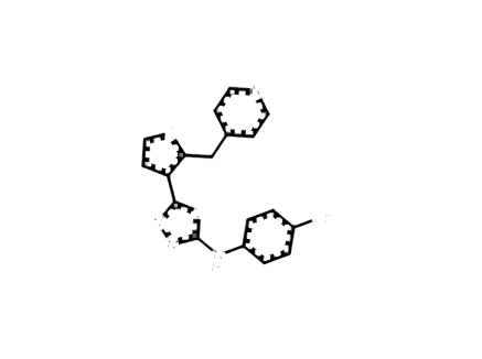 FC(F)(F)c1ccc(Nc2nnc(-c3ccsc3Cc3ccncc3)s2)cc1